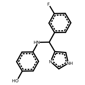 Oc1ccc(NC(c2cccc(F)c2)c2c[nH]cn2)cc1